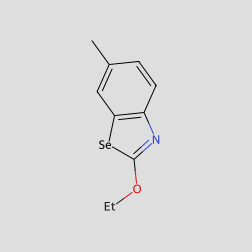 CCOc1nc2ccc(C)cc2[se]1